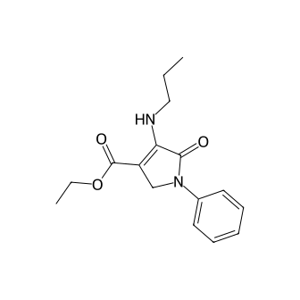 CCCNC1=C(C(=O)OCC)CN(c2ccccc2)C1=O